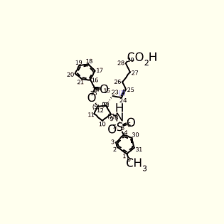 Cc1ccc(S(=O)(=O)N[C@H]2CC[C@H](OC(=O)c3ccccc3)[C@@H]2C/C=C\CCCC(=O)O)cc1